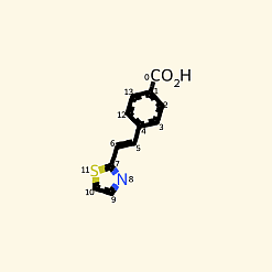 O=C(O)c1ccc(C=Cc2nccs2)cc1